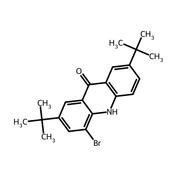 CC(C)(C)c1ccc2[nH]c3c(Br)cc(C(C)(C)C)cc3c(=O)c2c1